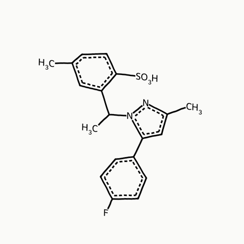 Cc1ccc(S(=O)(=O)O)c(C(C)n2nc(C)cc2-c2ccc(F)cc2)c1